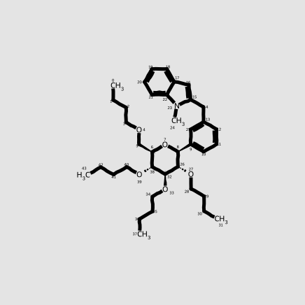 CCCCOC[C@H]1O[C@@H](c2cccc(Cc3cc4ccccc4n3C)c2)[C@H](OCCCC)[C@@H](OCCCC)[C@@H]1OCCCC